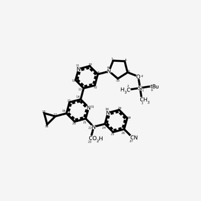 CC(C)(C)[Si](C)(C)OC1CCN(c2cncc(-c3cc(C4CC4)cc(N(C(=O)O)c4cc(C#N)ccn4)n3)c2)C1